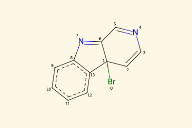 BrC12C=CN=CC1=Nc1ccccc12